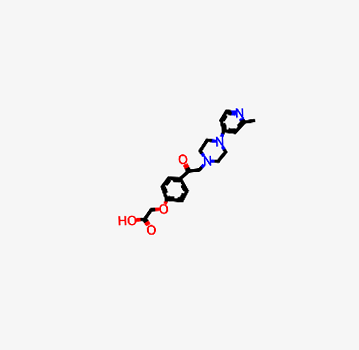 Cc1cc(N2CCN(CC(=O)c3ccc(OCC(=O)O)cc3)CC2)ccn1